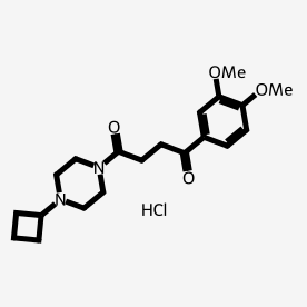 COc1ccc(C(=O)CCC(=O)N2CCN(C3CCC3)CC2)cc1OC.Cl